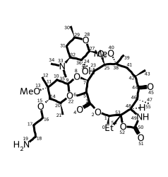 CC[C@H]1OC(=O)C(C)[C@@H](OC2C[C@@](C)(OC)[C@@H](OCCCN)[C@H](C)O2)[C@H](C)[C@@H](O[C@@H]2O[C@H](C)C[C@H](N(C)C)[C@H]2O)[C@](C)(OC)C[C@@H](C)C(=O)[C@H](C)[C@H]2NC(=O)O[C@@]21C